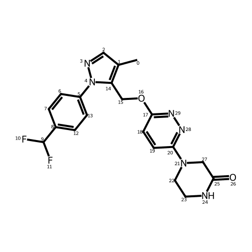 Cc1cnn(-c2ccc(C(F)F)cc2)c1COc1ccc(N2CCNC(=O)C2)nn1